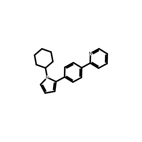 c1ccc(-c2ccc(-c3cccn3C3CCCCC3)cc2)nc1